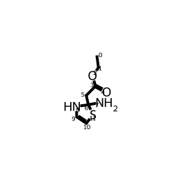 CCOC(=O)CC1(N)NC=CS1